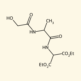 CCOC(=O)C(NC(=O)C(C)NC(=O)CO)C(=O)OCC